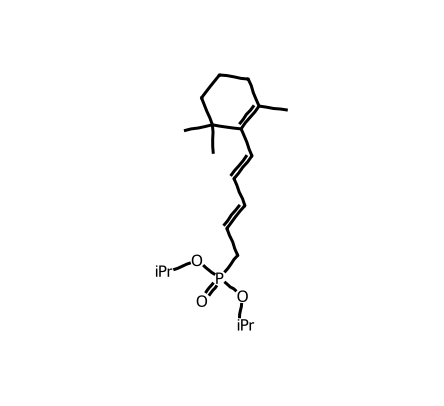 CC1=C(C=CC=CCP(=O)(OC(C)C)OC(C)C)C(C)(C)CCC1